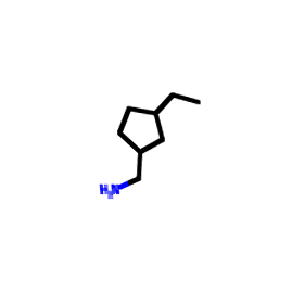 CCC1CCC(CN)C1